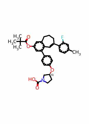 Cc1ccc(C2=Cc3c(cc(OC(=O)C(C)(C)C)cc3-c3ccc(O[C@H]4CCN(C(=O)O)C4)cc3)CCC2)c(F)c1